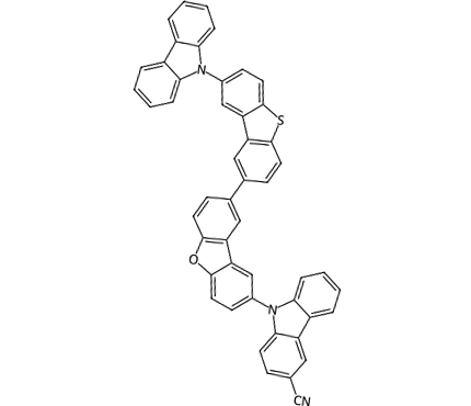 N#Cc1ccc2c(c1)c1ccccc1n2-c1ccc2oc3ccc(-c4ccc5sc6ccc(-n7c8ccccc8c8ccccc87)cc6c5c4)cc3c2c1